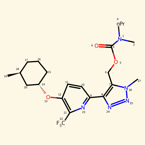 CCCN(C)C(=O)OCc1c(-c2ccc(O[C@H]3CCC[C@H](C)C3)c(C(F)(F)F)n2)nnn1C